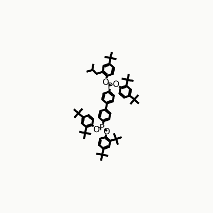 CC(C)Cc1cc(C(C)(C)C)ccc1OP(Oc1ccc(C(C)(C)C)cc1C(C)(C)C)c1ccc(-c2ccc(P(Oc3ccc(C(C)(C)C)cc3C(C)(C)C)Oc3ccc(C(C)(C)C)cc3C(C)(C)C)cc2)cc1